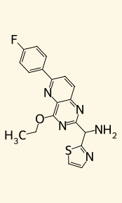 CCOc1nc(C(N)c2nccs2)nc2ccc(-c3ccc(F)cc3)nc12